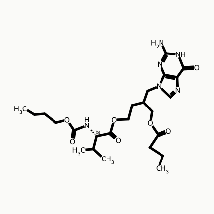 CCCCOC(=O)N[C@H](C(=O)OCCC(COC(=O)CCC)Cn1cnc2c(=O)[nH]c(N)nc21)C(C)C